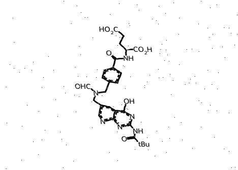 CC(C)(C)C(=O)Nc1nc(O)c2cc(CN(C=O)Cc3ccc(C(=O)N[C@@H](CCC(=O)O)C(=O)O)cc3)cnc2n1